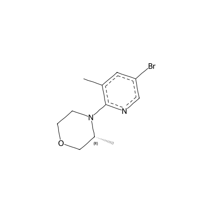 Cc1cc(Br)cnc1N1CCOC[C@H]1C